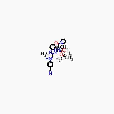 Cn1c(CNc2ccc(C#N)cc2)nc2c([C@](C)(NC(=O)OC(C)(C)C)C(=O)N3CCCC3)cccc21